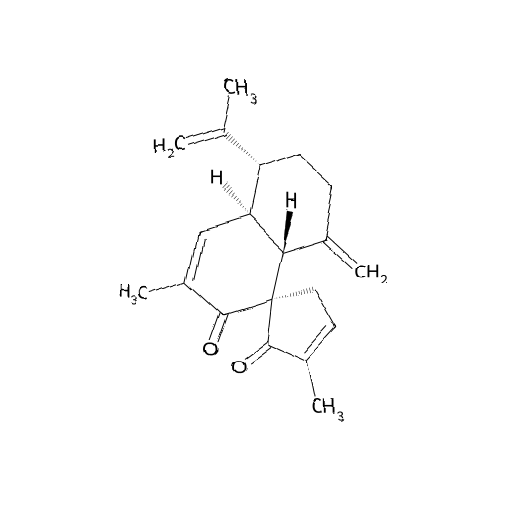 C=C(C)[C@@H]1CCC(=C)[C@H]2[C@H]1C=C(C)C(=O)[C@@]21CC=C(C)C1=O